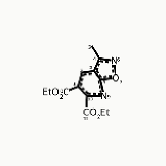 CCOC(=O)c1cc2c(C)noc2nc1C(=O)OCC